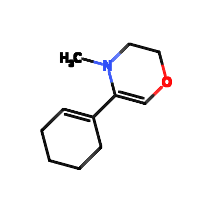 CN1CCOC=C1C1=CCCCC1